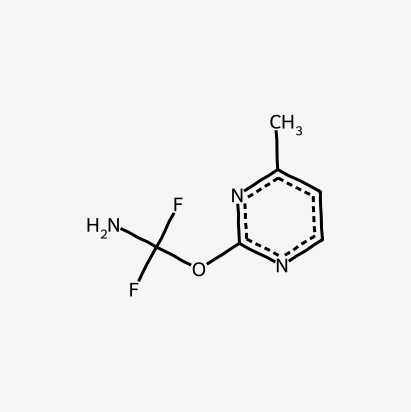 Cc1ccnc(OC(N)(F)F)n1